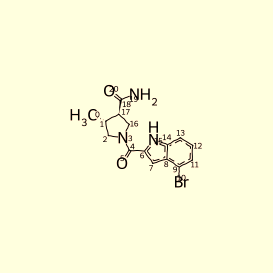 C[C@H]1CN(C(=O)c2cc3c(Br)cccc3[nH]2)C[C@@H]1C(N)=O